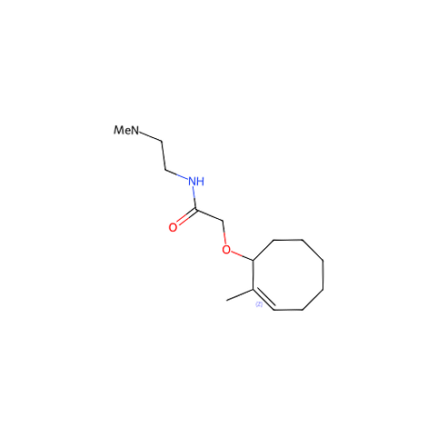 CNCCNC(=O)COC1CCCCC/C=C\1C